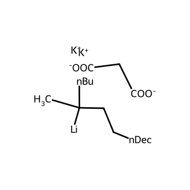 O=C([O-])CC(=O)[O-].[K+].[K+].[Li][C](C)(CCCC)CCCCCCCCCCCC